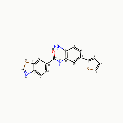 Nc1ccc(-c2cccs2)cc1NC(=O)c1ccc2ncsc2c1